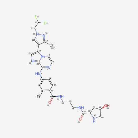 CCc1cc(Nc2nccn3c(-c4cn(CC(F)F)nc4C(F)(F)F)cnc23)ccc1C(=O)NCCCNC(=O)[C@@H]1C[C@@H](O)CN1